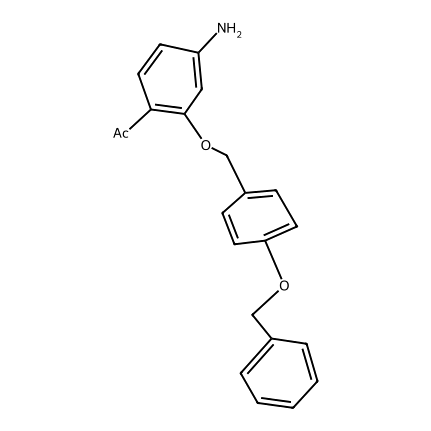 CC(=O)c1ccc(N)cc1OCc1ccc(OCc2ccccc2)cc1